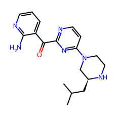 CC(C)C[C@H]1CN(c2ccnc(C(=O)c3cccnc3N)n2)CCN1